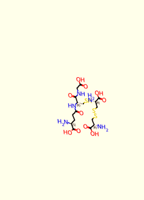 N[C@@H](CCC(=O)N[C@@H](CS)C(=O)NCC(=O)O)C(=O)O.N[C@@H](CSSC[C@H](N)C(=O)O)C(=O)O